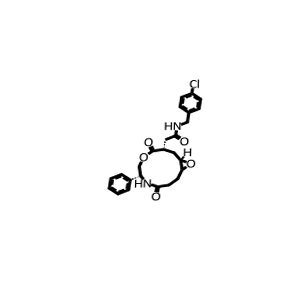 O=C(C[C@@H]1C[C@@H]2OC2CCC(=O)N[C@H](c2ccccc2)COC1=O)NCc1ccc(Cl)cc1